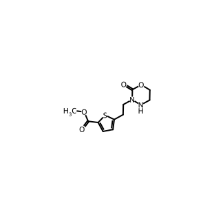 COC(=O)c1ccc(CCN2NCCOC2=O)s1